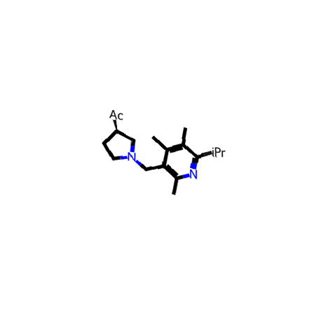 CC(=O)[C@@H]1CCN(Cc2c(C)nc(C(C)C)c(C)c2C)C1